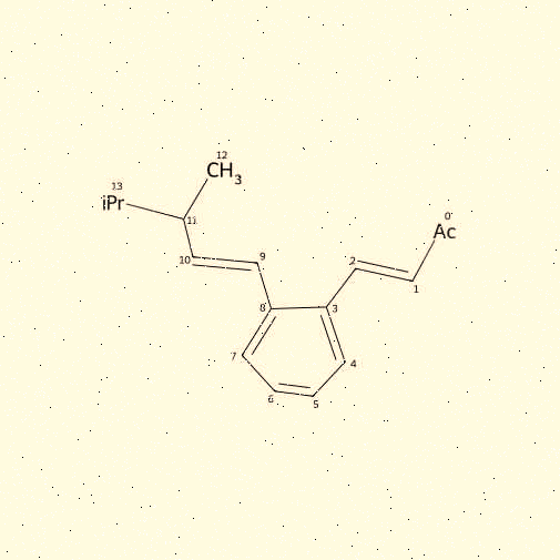 CC(=O)C=Cc1ccccc1C=CC(C)C(C)C